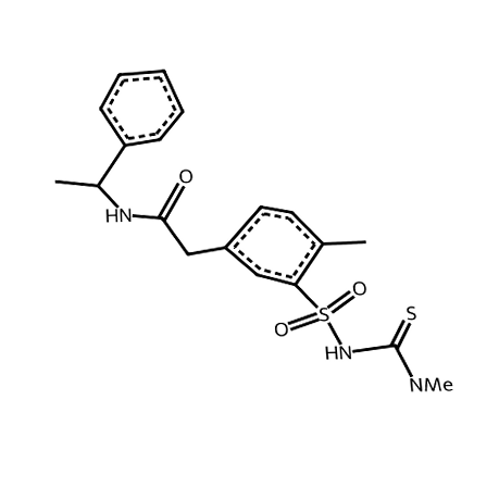 CNC(=S)NS(=O)(=O)c1cc(CC(=O)NC(C)c2ccccc2)ccc1C